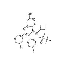 CC(C)(C)S(=O)(=O)C[C@@H](C1CCC1)N1C(=O)[C@@H](CC(=O)O)O[C@H](c2cccc(Cl)c2)[C@H]1c1ccc(Cl)cc1